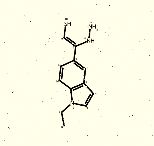 CCn1ccc2cc(/C(=C/S)NN)ccc21